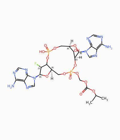 CC(C)OC(=O)OCOP1(=O)OC[C@H]2O[C@@H](n3cnc4c(N)ncnc43)[C@@H](F)C2OP(=O)(O)OC[C@H]2O[C@@H](n3cnc4c(N)ncnc43)[C@@H](O1)C2O